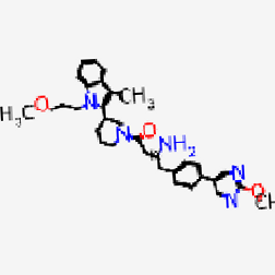 COCCCn1c(C2CCCN(C(=O)C[C@H](N)Cc3ccc(-c4cnc(OC)nc4)cc3)C2)c(C)c2ccccc21